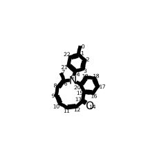 Cc1ccc(-n2c(C)cccccc(=O)c3ccccc32)cc1